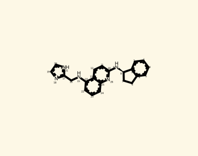 c1ccc2c(c1)CC[C@H]2Nc1ccc2c(NCc3ncc[nH]3)cccc2n1